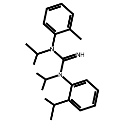 Cc1ccccc1N(C(=N)N(c1ccccc1C(C)C)C(C)C)C(C)C